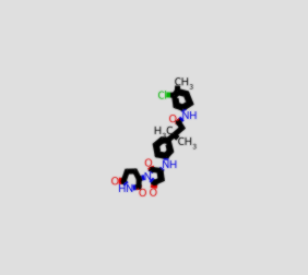 Cc1ccc(NC(=O)CC(C)(C)c2cccc(NC3=CC(=O)N(C4CCC(=O)NC4=O)C3=O)c2)cc1Cl